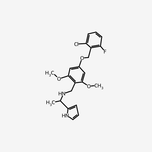 COc1cc(OCc2c(F)cccc2Cl)cc(OC)c1CNC(C)c1ccc[nH]1